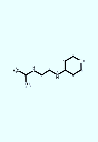 CC(C)NCCNC1CCOCC1